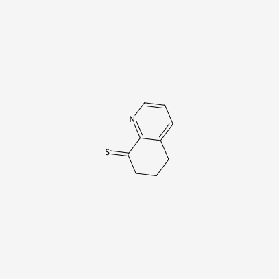 S=C1CCCc2cccnc21